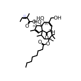 C/C=C(/C)C(=O)O[C@H]1C(C)=CC23C(=O)[C@@H](C=C(CO)[C@@H](O)[C@]12O)C(C)(C)[C@](C)(OC(=O)CCCCCCC)CC3C